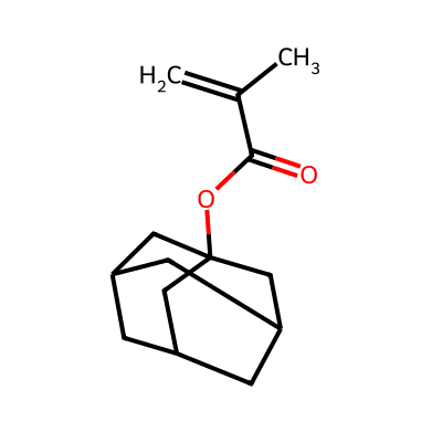 C=C(C)C(=O)OC12CC3CC(CC(C3)C1)C2